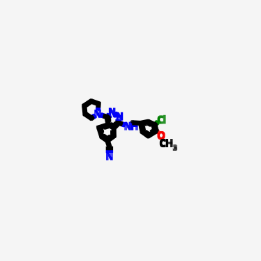 COc1ccc(CNc2nnc(N3CCCCC3)c3ccc(C#N)cc23)cc1Cl